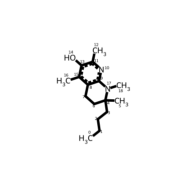 CCCCC1(C)CCc2c(nc(C)c(O)c2C)N1C